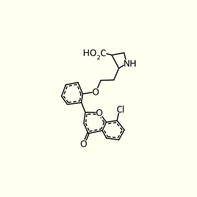 O=C(O)C1CNC1CCOc1ccccc1-c1cc(=O)c2cccc(Cl)c2o1